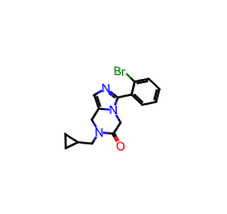 O=C1Cn2c(cnc2-c2ccccc2Br)CN1CC1CC1